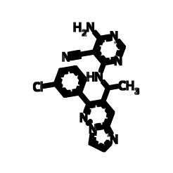 CC(Nc1ncnc(N)c1C#N)c1cc2nccn2nc1-c1cccc(Cl)c1